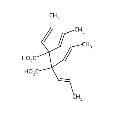 CC=CC(C=CC)(C(=O)O)C(C=CC)(C=CC)C(=O)O